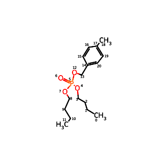 CCCCOP(=O)(OCCCC)OCc1ccc(C)cc1